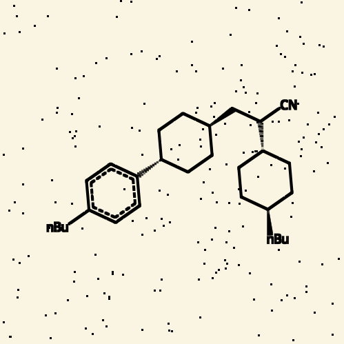 CCCCc1ccc([C@H]2CC[C@H](CC(C#N)[C@H]3CC[C@H](CCCC)CC3)CC2)cc1